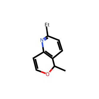 CCc1ccc2c(n1)C=COC2C